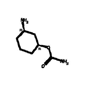 NC(=O)O[C@H]1CCC[C@@H](N)C1